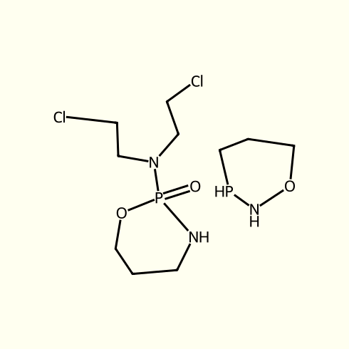 C1CONPC1.O=P1(N(CCCl)CCCl)NCCCO1